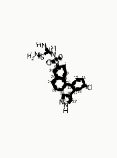 N=C(NS(=O)(=O)c1ccc2c(-c3ccc(Cl)cc3-c3cn[nH]c3)cccc2c1)SN